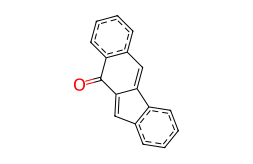 O=C1C2=Cc3ccccc3C2=Cc2ccccc21